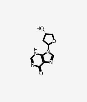 O=c1nc[nH]c2c1ncn2[C@H]1C[C@H](O)CO1